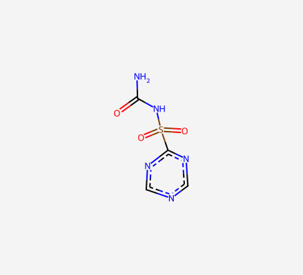 NC(=O)NS(=O)(=O)c1ncncn1